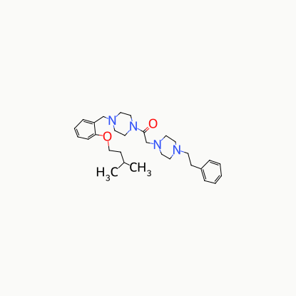 CC(C)CCOc1ccccc1CN1CCN(C(=O)CN2CCN(CCc3ccccc3)CC2)CC1